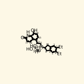 CCc1cc2c(cc1CC)CC(NCC(O)c1ccc(O)c3[nH]c(=O)ccc13)C2.O=S(=O)([O-])O.[H+]